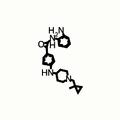 CC1(CN2CCC(Nc3ccc(C4OC4Nc4ccccc4N)cc3)CC2)CC1